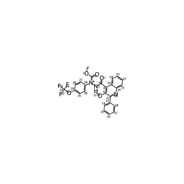 COC(=O)N(NC(=O)c1c(OC)c(-c2ccccc2)nc2ccccc12)c1ccc(OC(F)(F)F)cc1